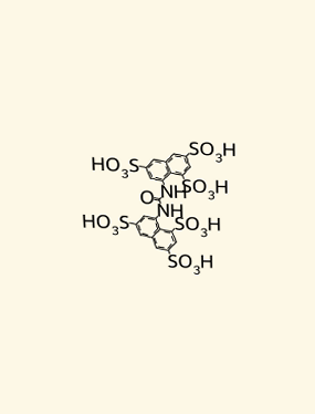 O=C(Nc1cc(S(=O)(=O)O)cc2cc(S(=O)(=O)O)cc(S(=O)(=O)O)c12)Nc1cc(S(=O)(=O)O)cc2cc(S(=O)(=O)O)cc(S(=O)(=O)O)c12